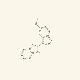 COc1ccc2c(c1)c(-c1cc3cccnc3[nH]1)cn2C